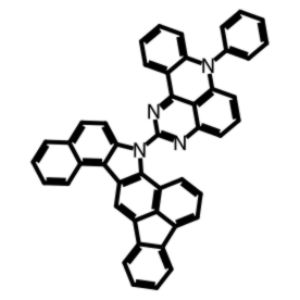 c1ccc(N2c3ccccc3-c3nc(-n4c5ccc6ccccc6c5c5cc6c7c(cccc7c54)-c4ccccc4-6)nc4cccc2c34)cc1